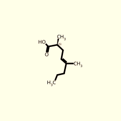 CCCC(C)=CC[C@H](C)C(=O)O